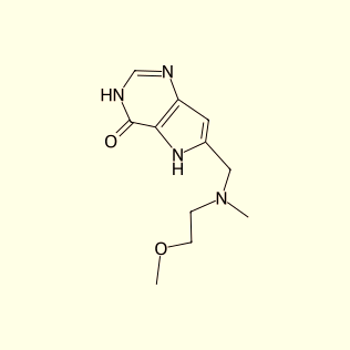 COCCN(C)Cc1cc2nc[nH]c(=O)c2[nH]1